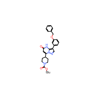 CC(C)(C)OC(=O)N1CCC(c2cc(=O)[nH]c3c(-c4cccc(OCc5ccccc5)c4)cnn23)CC1